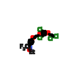 CCON=C(c1ccc(OCCCOc2c(Cl)cc(OCC=C(Cl)Cl)cc2Cl)cc1)C(F)(F)F